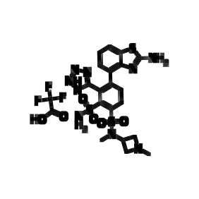 CN1CC(N(C)S(=O)(=O)c2ccc(-c3cccc4sc(N)nc34)c(-c3nnn[nH]3)c2S(N)(=O)=O)C1.O=C(O)C(F)(F)F